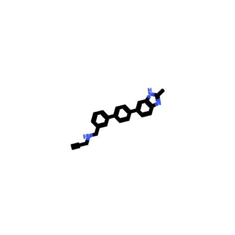 C#CCNCc1cccc(-c2ccc(-c3ccc4nc(C)[nH]c4c3)cc2)c1